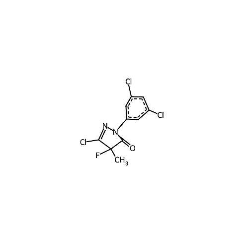 CC1(F)C(=O)N(c2cc(Cl)cc(Cl)c2)N=C1Cl